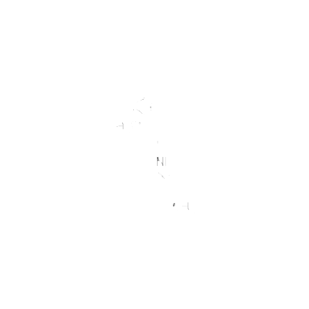 CCCCC=CNCCCCC(C)c1ccccc1